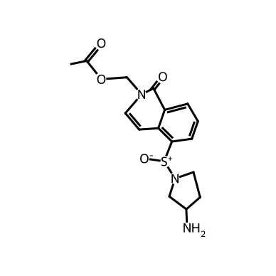 CC(=O)OCn1ccc2c([S+]([O-])N3CCC(N)C3)cccc2c1=O